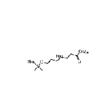 COC(=O)CCNCCCO[Si](C)(C)C(C)(C)C